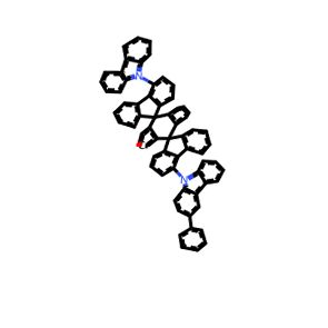 c1ccc(-c2ccc3c(c2)c2ccccc2n3-c2cccc3c2-c2ccccc2C32c3ccccc3C3(c4ccccc4-c4c(-n5c6ccccc6c6ccccc65)cccc43)c3ccccc32)cc1